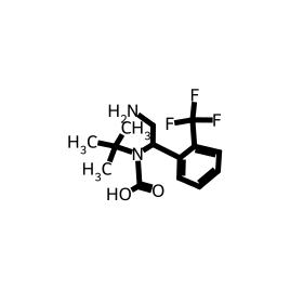 CC(C)(C)N(C(=O)O)C(CN)c1ccccc1C(F)(F)F